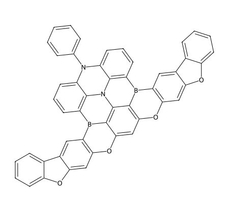 c1ccc(N2c3cccc4c3N3c5c(cccc52)B2c5cc6c(cc5Oc5cc7c(c3c52)B4c2cc3c(cc2O7)oc2ccccc23)oc2ccccc26)cc1